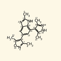 Cc1nc2cc(-c3c(C)noc3C)cc(-c3c(C)n[nH]c3C)c2[nH]1